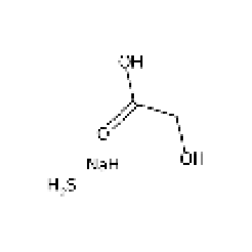 O=C(O)CO.S.[NaH]